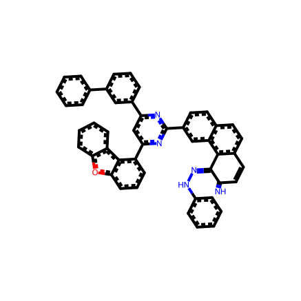 N=C1C=Cc2ccc3ccc(-c4nc(-c5cccc(-c6ccccc6)c5)cc(-c5cccc6oc7ccccc7c56)n4)cc3c2/C1=N/Nc1ccccc1